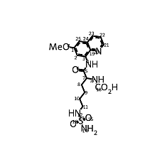 COc1cc(NC(=O)C(CCCCNS(N)(=O)=O)NC(=O)O)c2ncccc2c1